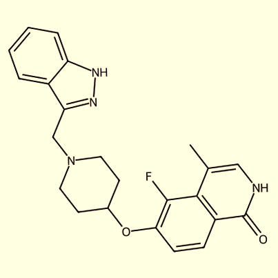 Cc1c[nH]c(=O)c2ccc(OC3CCN(Cc4n[nH]c5ccccc45)CC3)c(F)c12